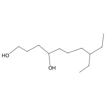 CCC(CC)CCCC(O)CCCO